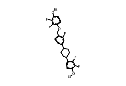 CCOc1ccc(OCc2ccc(C3CCC(c4ccc(OCC)c(F)c4F)CC3)cc2F)c(F)c1F